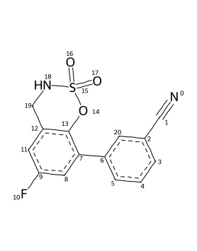 N#Cc1cccc(-c2cc(F)cc3c2OS(=O)(=O)NC3)c1